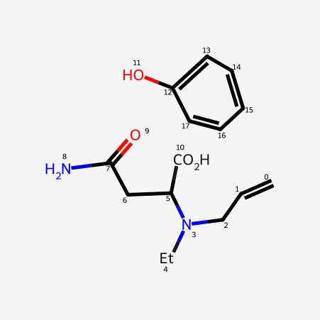 C=CCN(CC)C(CC(N)=O)C(=O)O.Oc1ccccc1